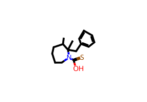 CC1CCCCN(C(O)=S)C1(C)Cc1ccccc1